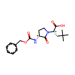 CC(C)(C)C[C@@H](C(=O)O)N1CC[C@@H](NC(=O)OCc2ccccc2)C1=O